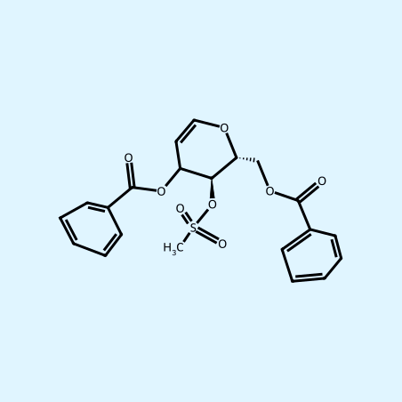 CS(=O)(=O)O[C@H]1C(OC(=O)c2ccccc2)C=CO[C@@H]1COC(=O)c1ccccc1